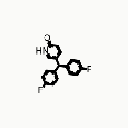 O=c1ccc(C(c2ccc(F)cc2)c2ccc(F)cc2)c[nH]1